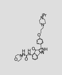 CC(C)N1CCN(CCCOc2ccc(-c3[nH]nc4c3C(=O)c3c(NC(=O)NN5CCOCC5)cccc3-4)cc2)CC1